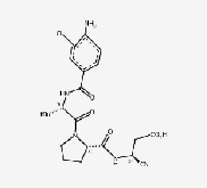 CC(C)(C)[C@H](NC(=O)c1ccc(N)c(Cl)c1)C(=O)N1CCC[C@H]1C(=O)N[C@H](C#N)CC(=O)O